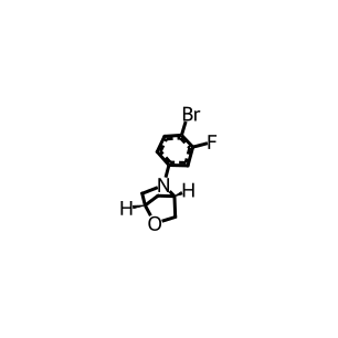 Fc1cc(N2C[C@@H]3C[C@H]2CO3)ccc1Br